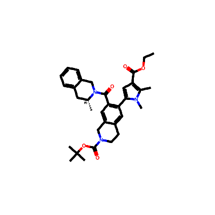 CCOC(=O)c1cc(-c2cc3c(cc2C(=O)N2Cc4ccccc4C[C@H]2C)CN(C(=O)OC(C)(C)C)CC3)n(C)c1C